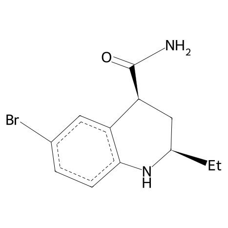 CC[C@@H]1C[C@H](C(N)=O)c2cc(Br)ccc2N1